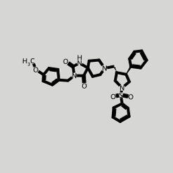 COc1ccc(CN2C(=O)NC3(CCN(C[C@H]4CN(S(=O)(=O)c5ccccc5)C[C@@H]4c4ccccc4)CC3)C2=O)cc1